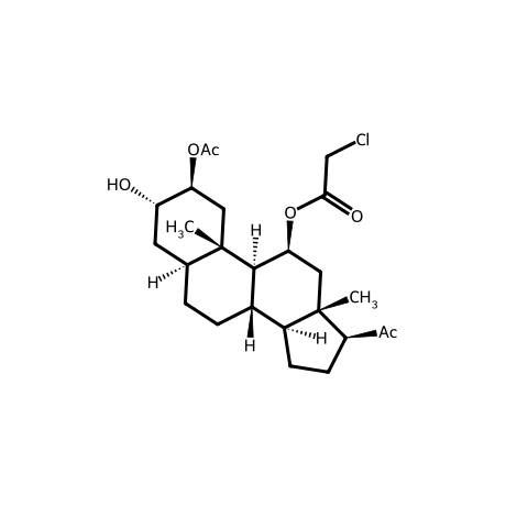 CC(=O)O[C@H]1C[C@@]2(C)[C@@H](CC[C@@H]3[C@@H]2[C@@H](OC(=O)CCl)C[C@]2(C)[C@@H](C(C)=O)CC[C@@H]32)C[C@@H]1O